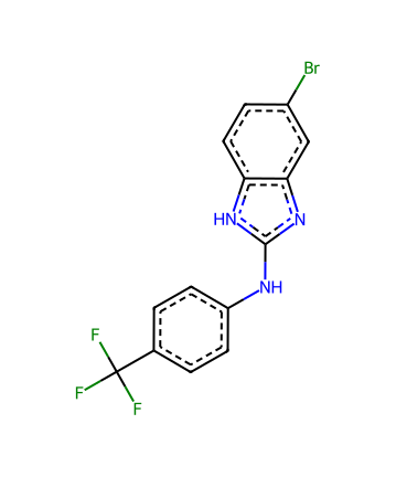 FC(F)(F)c1ccc(Nc2nc3cc(Br)ccc3[nH]2)cc1